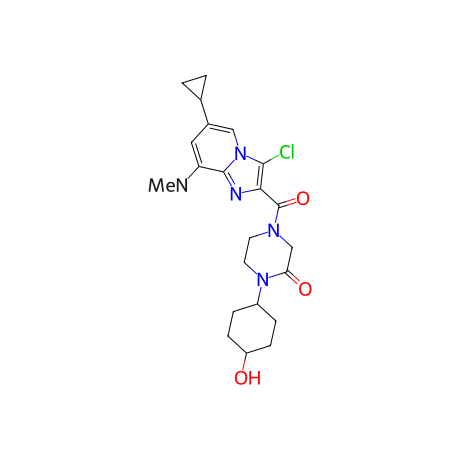 CNc1cc(C2CC2)cn2c(Cl)c(C(=O)N3CCN(C4CCC(O)CC4)C(=O)C3)nc12